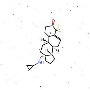 C[C@]12CCC(=O)C(F)(F)C1=CC[C@H]1[C@@H]3CCC[C@@]3(CNC3CC3)CC[C@@H]12